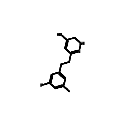 Cc1cc(F)cc(CCC2=NNCC(O)=C2)c1